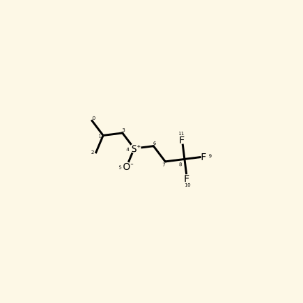 CC(C)C[S+]([O-])CCC(F)(F)F